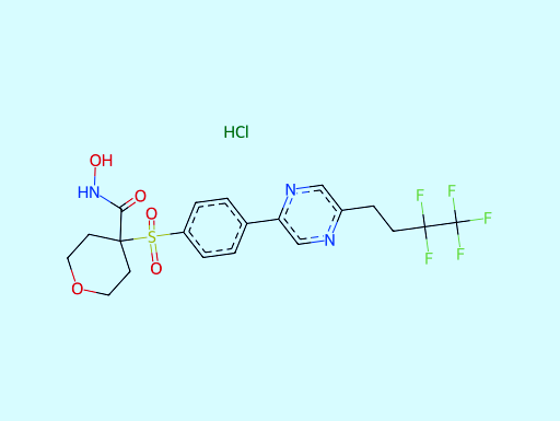 Cl.O=C(NO)C1(S(=O)(=O)c2ccc(-c3cnc(CCC(F)(F)C(F)(F)F)cn3)cc2)CCOCC1